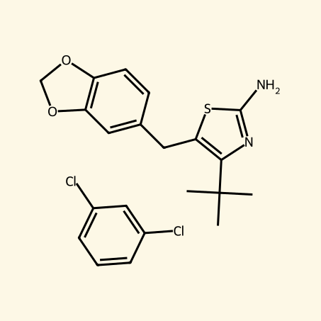 CC(C)(C)c1nc(N)sc1Cc1ccc2c(c1)OCO2.Clc1cccc(Cl)c1